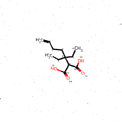 C=CCCC(CC)(CC)C(C(=O)O)C(=O)O